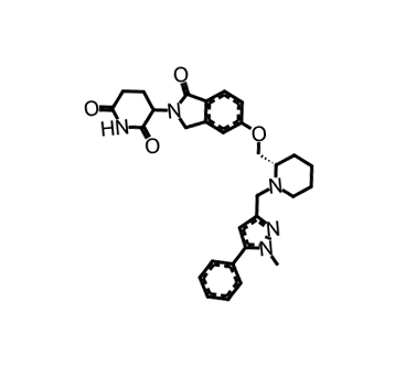 Cn1nc(CN2CCCC[C@H]2COc2ccc3c(c2)CN(C2CCC(=O)NC2=O)C3=O)cc1-c1ccccc1